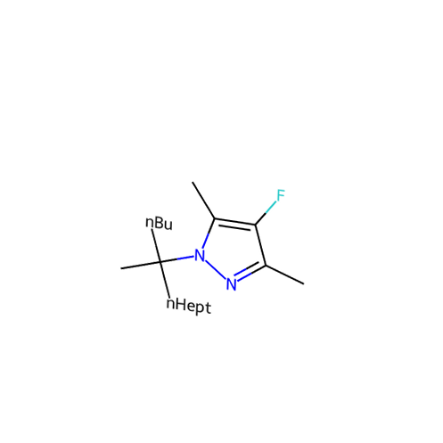 CCCCCCCC(C)(CCCC)n1nc(C)c(F)c1C